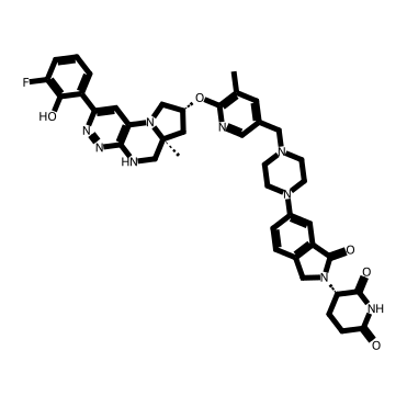 Cc1cc(CN2CCN(c3ccc4c(c3)C(=O)N([C@H]3CCC(=O)NC3=O)C4)CC2)cnc1O[C@H]1CN2c3cc(-c4cccc(F)c4O)nnc3NC[C@]2(C)C1